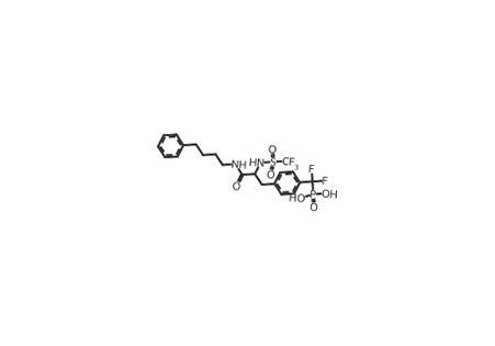 O=C(NCCCCc1ccccc1)C(Cc1ccc(C(F)(F)P(=O)(O)O)cc1)NS(=O)(=O)C(F)(F)F